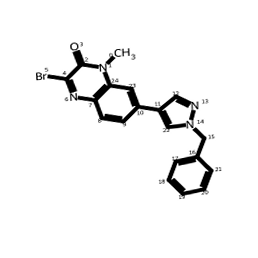 Cn1c(=O)c(Br)nc2ccc(-c3cnn(Cc4ccccc4)c3)cc21